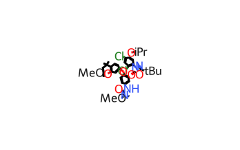 CC(C)Oc1cc(-n2nc(C(C)(C)C)oc2=O)c(Cl)cc1Cl.CON(C)C(=O)Nc1ccc(Oc2ccc3c(c2)OC(C)(OC)CC3(C)C)cc1